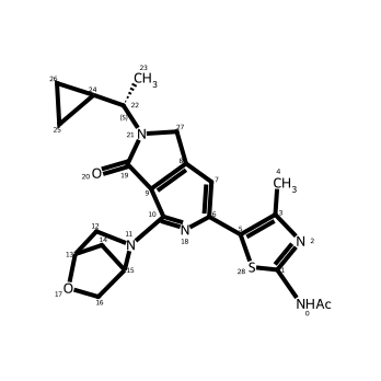 CC(=O)Nc1nc(C)c(-c2cc3c(c(N4CC5CC4CO5)n2)C(=O)N([C@@H](C)C2CC2)C3)s1